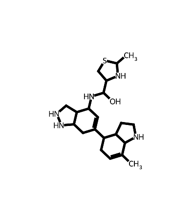 CC1=CCC(C2=CC(NC(O)C3CSC(C)N3)C3CNNC3C2)C2CCNC12